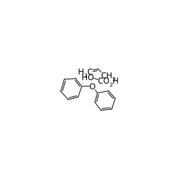 C=CC.O=C(O)O.c1ccc(Oc2ccccc2)cc1